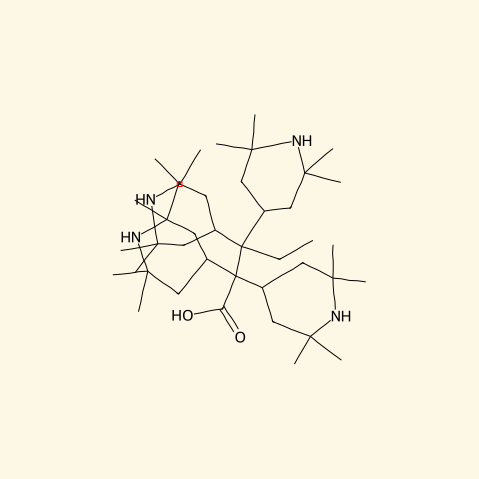 CCC(C1CC(C)(C)NC(C)(C)C1)(C1CC(C)(C)NC(C)(C)C1)C(C(=O)O)(C1CC(C)(C)NC(C)(C)C1)C1CC(C)(C)NC(C)(C)C1